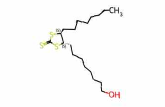 CCCCCCCC[C@@H]1SC(=S)S[C@H]1CCCCCCCCO